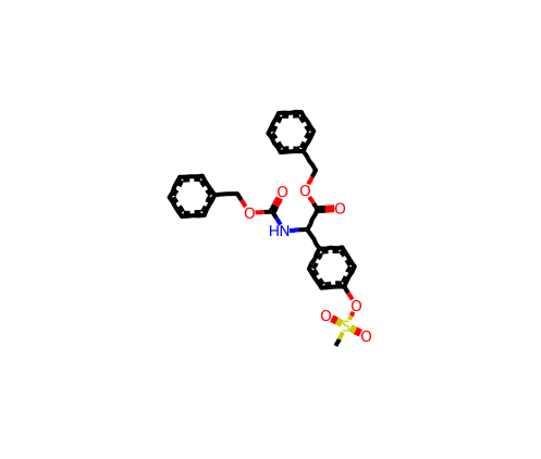 CS(=O)(=O)Oc1ccc(C(NC(=O)OCc2ccccc2)C(=O)OCc2ccccc2)cc1